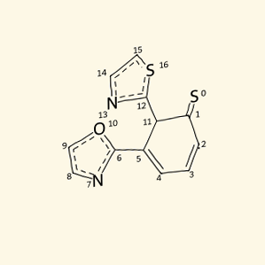 S=C1[C]=CC=C(c2ncco2)C1c1nccs1